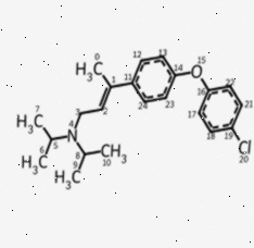 CC(=CCN(C(C)C)C(C)C)c1ccc(Oc2ccc(Cl)cc2)cc1